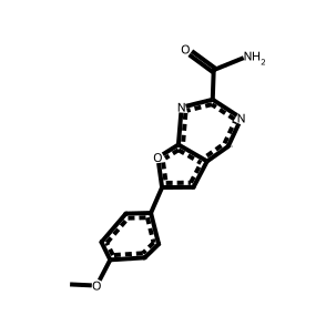 COc1ccc(-c2cc3[c]nc(C(N)=O)nc3o2)cc1